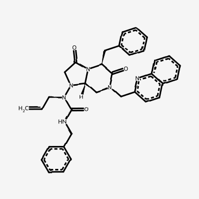 C=CCN(C(=O)NCc1ccccc1)N1CC(=O)N2[C@@H](Cc3ccccc3)C(=O)N(Cc3ccc4ccccc4n3)C[C@@H]21